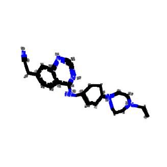 CCN1CCN(C2CCC(Nc3ncnc4cc(CC#N)ccc34)CC2)CC1